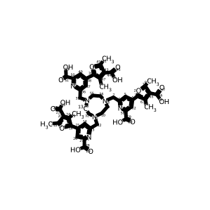 Cc1oc(-c2cc(CN3CCN(Cc4cc(-c5oc(C)c(C(=O)O)c5C)cc(C(=O)O)n4)C[13CH2]N(Cc4cc(-c5oc(C)c(C(=O)O)c5C)cc(C(=O)O)n4)CC3)nc(C(=O)O)c2)c(C)c1C(=O)O